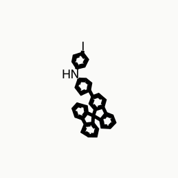 Ic1ccc(Nc2ccc(-c3ccc4c(c3)C3(c5ccccc5-c5ccccc53)c3ccccc3-4)cc2)cc1